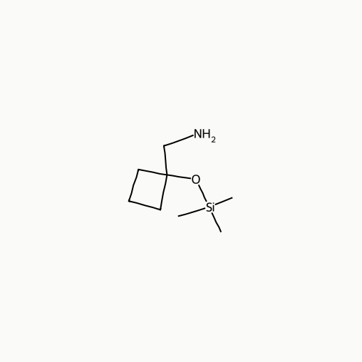 C[Si](C)(C)OC1(CN)CCC1